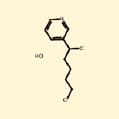 Cl.ClCCCCC(Cl)c1cccnc1